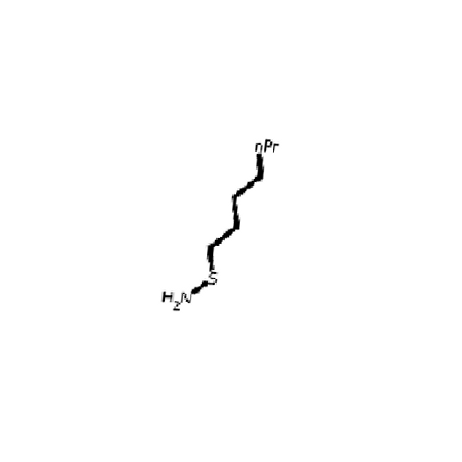 CCCCCCCSN